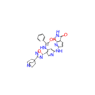 O=C1NCc2nc(Nc3cc(N[C@H](CO)c4ccccc4)c(-c4nc(C56CCN(CC5)CC6)no4)cn3)ccc21